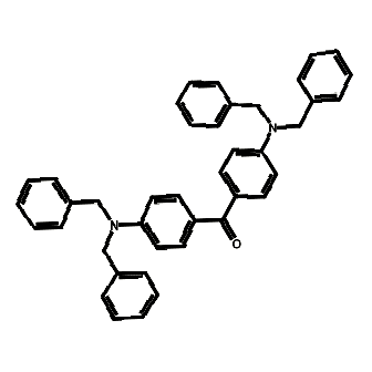 O=C(c1ccc(N(Cc2ccccc2)Cc2ccccc2)cc1)c1ccc(N(Cc2ccccc2)Cc2ccccc2)cc1